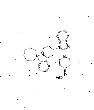 ON=C1CCN(c2nc3ccccc3n2C2CCN(C3(c4ccccc4)CCCCCC3)CC2)CC1